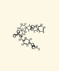 CCC1(COCc2ccccc2)CCCC2(CN(Cc3ccc(OC)cc3)C(=O)O2)C1